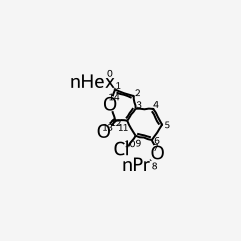 CCCCCCc1cc2ccc(OCCC)c(Cl)c2c(=O)o1